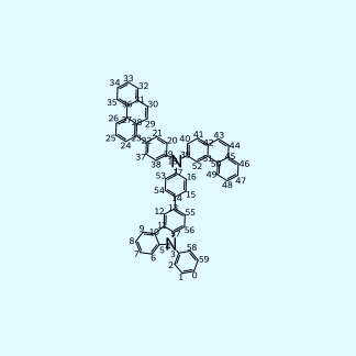 c1ccc(-n2c3ccccc3c3cc(-c4ccc(N(c5ccc(-c6cccc7c6ccc6ccccc67)cc5)c5ccc6ccc7ccccc7c6c5)cc4)ccc32)cc1